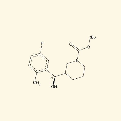 Cc1ccc(F)cc1[C@H](O)C1CCCN(C(=O)OC(C)(C)C)C1